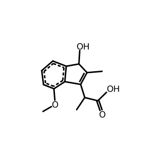 COc1cccc2c1C(C(C)C(=O)O)=C(C)C2O